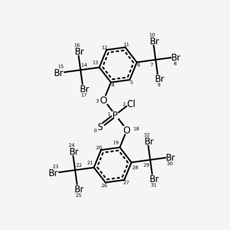 S=P(Cl)(Oc1cc(C(Br)(Br)Br)ccc1C(Br)(Br)Br)Oc1cc(C(Br)(Br)Br)ccc1C(Br)(Br)Br